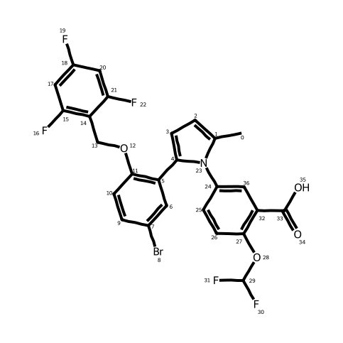 Cc1ccc(-c2cc(Br)ccc2OCc2c(F)cc(F)cc2F)n1-c1ccc(OC(F)F)c(C(=O)O)c1